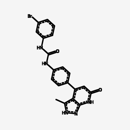 Cc1[nH]nc2[nH]c(=O)cc(-c3ccc(NC(=O)Nc4cccc(Br)c4)cc3)c12